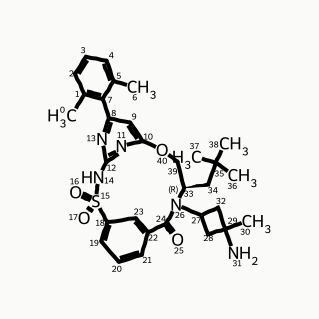 Cc1cccc(C)c1-c1cc2nc(n1)NS(=O)(=O)c1cccc(c1)C(=O)N(C1CC(C)(N)C1)[C@H](CC(C)(C)C)CO2